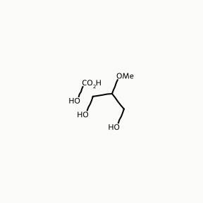 COC(CO)CO.O=C(O)O